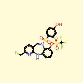 O=S(=O)(c1ccc(O)cc1)N1Cc2ccc(CF)nc2Nc2cccc(OS(=O)(=O)C(F)(F)F)c21